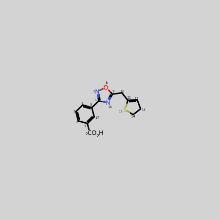 O=C(O)c1cccc(-c2noc(CC3=CCCS3)n2)c1